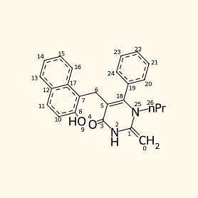 C=C1NC(=O)C(Cc2c(O)ccc3ccccc23)=C(c2ccccc2)N1CCC